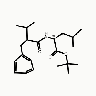 CC(C)C[C@H](NC(=O)C(Cc1ccccc1)C(C)C)C(=O)OC(C)(C)C